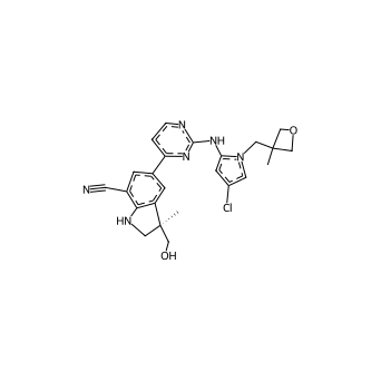 CC1(Cn2cc(Cl)cc2Nc2nccc(-c3cc(C#N)c4c(c3)[C@@](C)(CO)CN4)n2)COC1